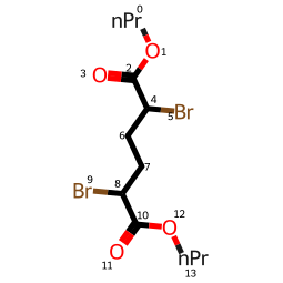 CCCOC(=O)C(Br)CCC(Br)C(=O)OCCC